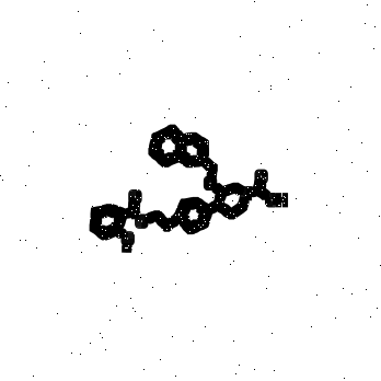 COc1ccccc1C(=O)OCCc1ccc(C2CCN(C(=O)O)CC2OCc2ccc3ccccc3c2)cc1